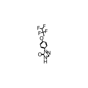 O=c1[nH]cnn1-c1ccc(OCC(F)(F)C(F)F)cc1